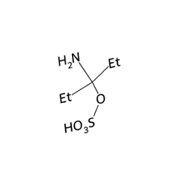 CCC(N)(CC)OS(=O)(=O)O